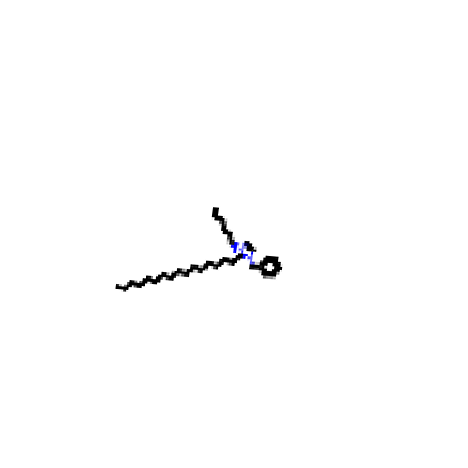 CCCCCCCCCCCCCCCCc1n(Cc2ccccc2)cc[n+]1CCCCCC